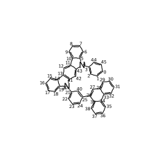 c1ccc(-n2c3ccccc3c3cc4c5ccccc5n(-c5cccc(-c6cc7ccccc7c7ccccc67)c5)c4cc32)cc1